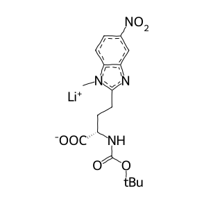 Cn1c(CC[C@H](NC(=O)OC(C)(C)C)C(=O)[O-])nc2cc([N+](=O)[O-])ccc21.[Li+]